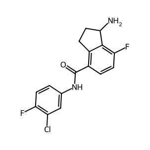 NC1CCc2c(C(=O)Nc3ccc(F)c(Cl)c3)ccc(F)c21